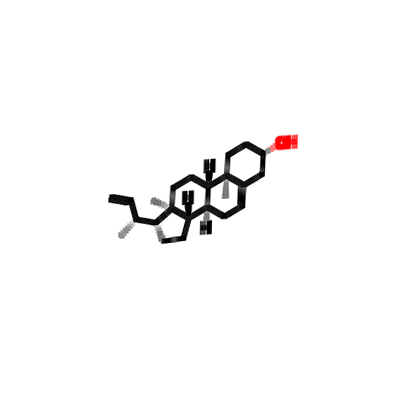 C=C[C@@H](C)[C@H]1CC[C@H]2[C@@H]3CC=C4C[C@@H](O)CC[C@]4(C)[C@H]3CC[C@]12C